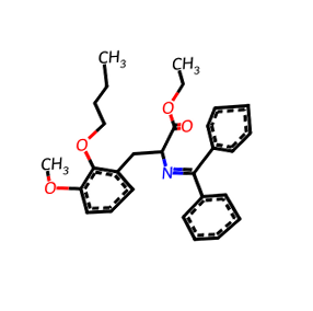 CCCCOc1c(CC(N=C(c2ccccc2)c2ccccc2)C(=O)OCC)cccc1OC